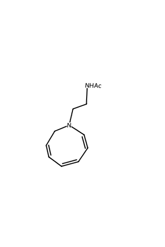 CC(=O)NCCN1\C=C/C=C\C=C/C1